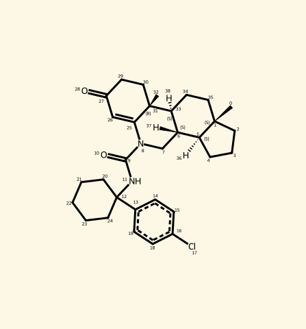 C[C@@]12CCC[C@H]1[C@@H]1CN(C(=O)NC3(c4ccc(Cl)cc4)CCCCC3)C3=CC(=O)CC[C@]3(C)[C@H]1CC2